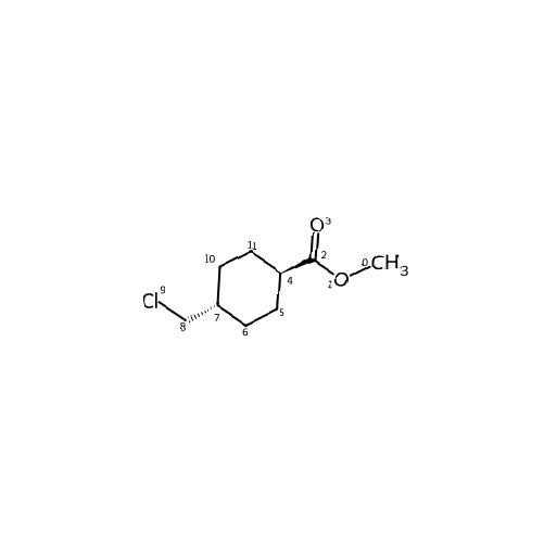 COC(=O)[C@H]1CC[C@H](CCl)CC1